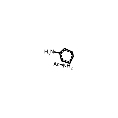 CC(N)=O.Nc1ccccc1